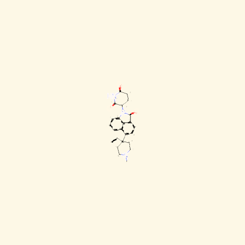 C=CC1(c2ccc3c4c(cccc24)N(C2CCC(=O)NC2=O)C3=O)CCN(C)CC1